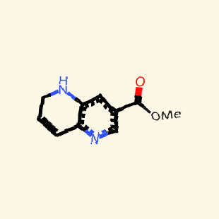 COC(=O)c1cnc2c(c1)NCC=C2